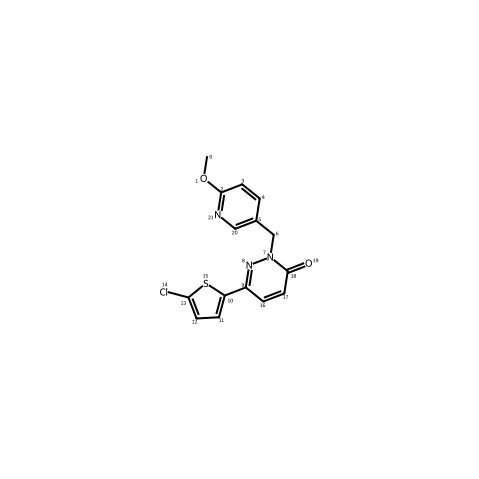 COc1ccc(Cn2nc(-c3ccc(Cl)s3)ccc2=O)cn1